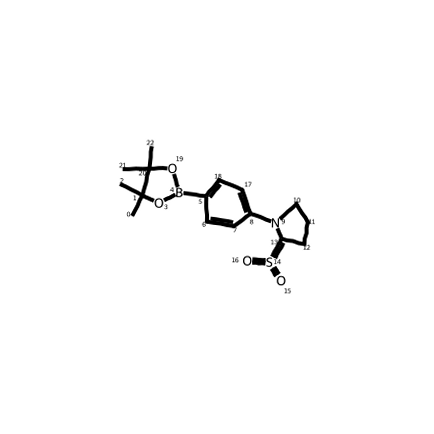 CC1(C)OB(c2ccc(N3CCCC3=S(=O)=O)cc2)OC1(C)C